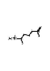 C=C(C)CCCC(C)NC(C)=O